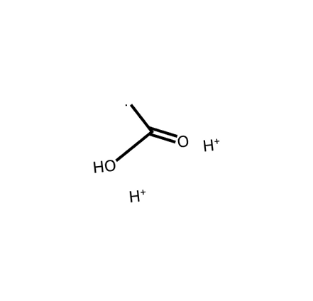 [CH2]C(=O)O.[H+].[H+]